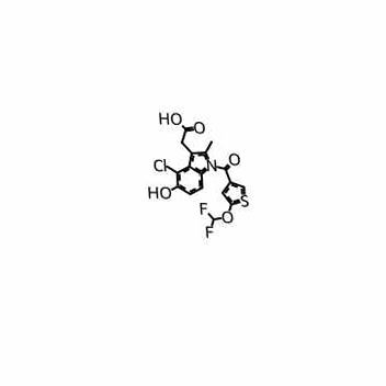 Cc1c(CC(=O)O)c2c(Cl)c(O)ccc2n1C(=O)c1csc(OC(F)F)c1